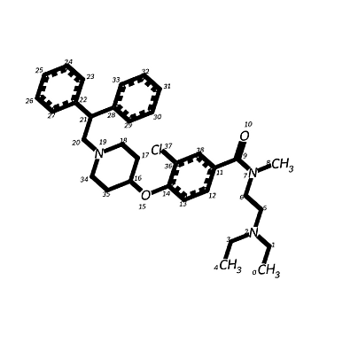 CCN(CC)CCN(C)C(=O)c1ccc(OC2CCN(CC(c3ccccc3)c3ccccc3)CC2)c(Cl)c1